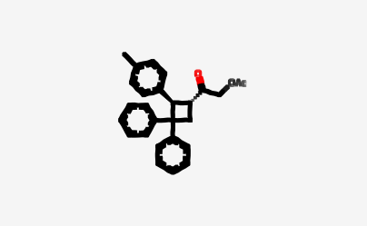 CC(=O)OCC(=O)[C@@H]1CC(c2ccccc2)(c2ccccc2)[C@H]1c1ccc(C)cc1